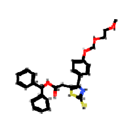 COCCOCOc1ccc(-c2nc(S)sc2CC(=O)OC(c2ccccc2)c2ccccc2)cc1